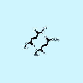 CCCCOC(=O)/C=C/C(=O)OC.CCCOC(=O)/C=C/C(=O)OCCC